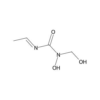 CC=NC(=O)N(O)CO